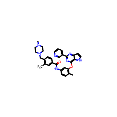 Cc1ccc(NC(=O)c2ccc(CN3CCN(C)CC3)c(C(F)(F)F)c2)cc1Oc1nc(-c2cccnc2)nc2cc[nH]c12